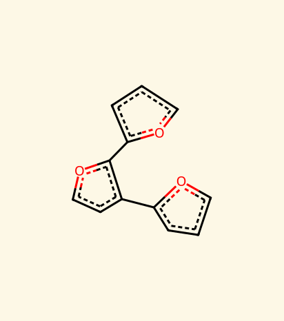 c1coc(-c2ccoc2-c2ccco2)c1